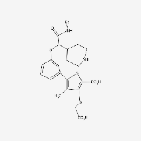 CCNC(=O)C(Oc1cccc(-c2sc(C(=O)O)c(OCC(=O)O)c2C)c1)C1CCNCC1